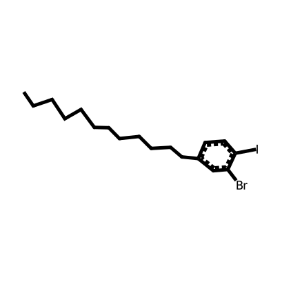 CCCCCCCCCCCCc1ccc(I)c(Br)c1